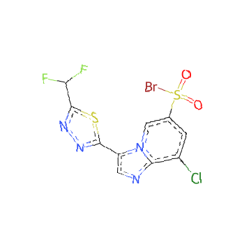 O=S(=O)(Br)c1cc(Cl)c2ncc(-c3nnc(C(F)F)s3)n2c1